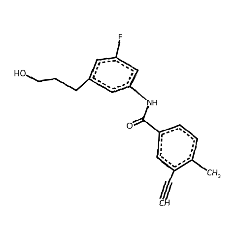 C#Cc1cc(C(=O)Nc2cc(F)cc(CCCO)c2)ccc1C